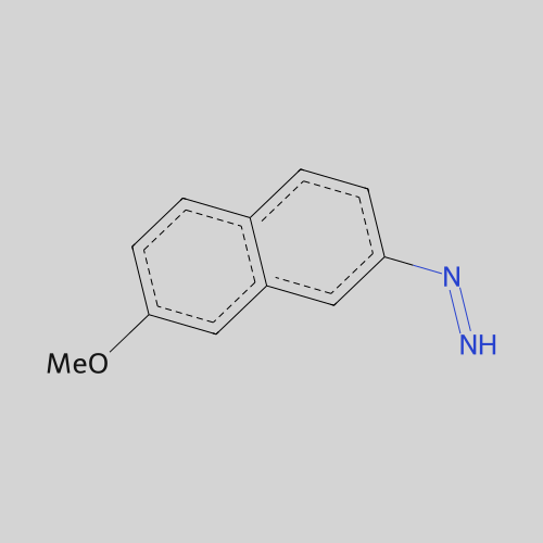 COc1ccc2ccc(N=N)cc2c1